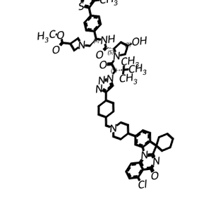 COC(=O)C1CN(C[C@H](NC(=O)[C@@H]2C[C@@H](O)CN2C(=O)[C@@H](n2cc(C3CCC(CN4CCC(c5ccc6c(c5)-n5c(nc(=O)c7c(Cl)cccc75)C65CCCCC5)CC4)CC3)nn2)C(C)(C)C)c2ccc(-c3scnc3C)cc2)C1